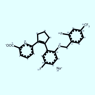 O=C([O-])c1cccc(C2=C(c3cc(F)ccc3OCc3ccc(C(F)(F)F)cc3F)CCC2)n1.[Na+]